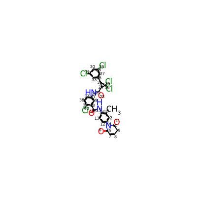 Cc1cc(N2C(=O)C=CCC2=O)ccc1NC(=O)c1cc(NC(=O)C2C(c3cc(Cl)cc(Cl)c3)C2(Cl)Cl)ccc1Cl